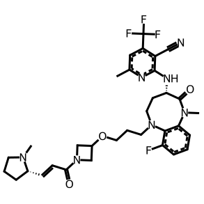 Cc1cc(C(F)(F)F)c(C#N)c(N[C@H]2CCN(CCCOC3CN(C(=O)/C=C/[C@@H]4CCCN4C)C3)c3c(F)cccc3N(C)C2=O)n1